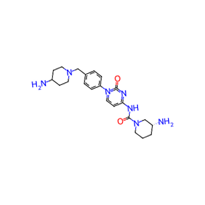 NC1CCN(Cc2ccc(-n3ccc(NC(=O)N4CCC[C@@H](N)C4)nc3=O)cc2)CC1